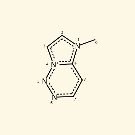 Cn1cc[n+]2nnccc12